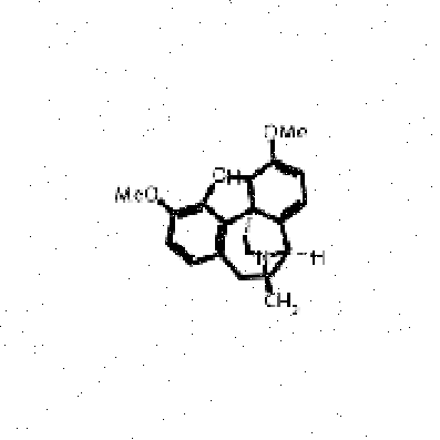 COC1=CC=C2[C@H]3CCc4ccc(OC)c5c4[C@@]2(CCN3C)[C@H]1O5